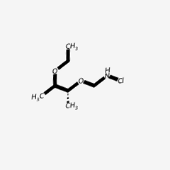 CCOC(C)[C@@H](C)OCNCl